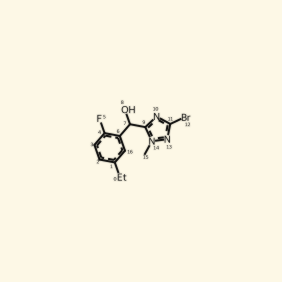 CCc1ccc(F)c(C(O)c2nc(Br)nn2C)c1